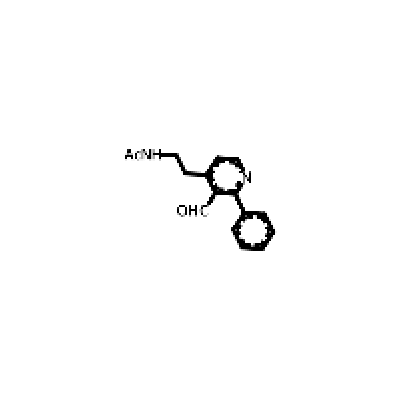 CC(=O)NCCc1ccnc(-c2ccccc2)c1C=O